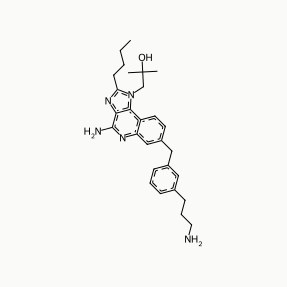 CCCCc1nc2c(N)nc3cc(Cc4cccc(CCCN)c4)ccc3c2n1CC(C)(C)O